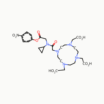 O=C(O)CN1CCN(CC(=O)O)CCN(CC(=O)N(CC(=O)Oc2ccc([N+](=O)[O-])cc2)C2CC2)CCN(CC(=O)O)CC1